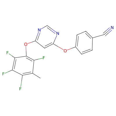 Cc1c(F)c(F)c(F)c(Oc2cc(Oc3ccc(C#N)cc3)ncn2)c1F